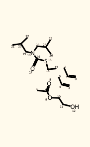 C=CC.C=CC.CC(=O)OCCO.CCSC(=O)N(CC(C)C)CC(C)C